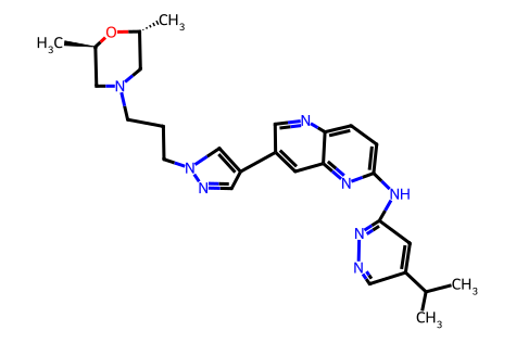 CC(C)c1cnnc(Nc2ccc3ncc(-c4cnn(CCCN5C[C@@H](C)O[C@H](C)C5)c4)cc3n2)c1